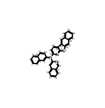 c1ccc2cc(N(c3cc4ccccc4cn3)c3ccc4c(n3)oc3cc5ccccc5cc34)ccc2c1